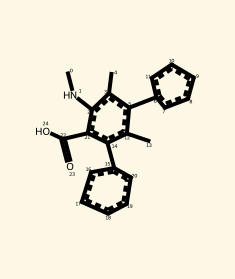 CNc1c(C)c(-c2ccccc2)c(C)c(-c2ccccc2)c1C(=O)O